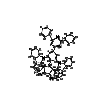 c1ccc(-c2cc(-c3cc(-n4c5ccccc5c5ccccc54)c(-n4c5cccnc5c5ncccc54)c(-n4c5ccccc5c5ccccc54)c3)nc(-c3ccccc3)n2)cc1